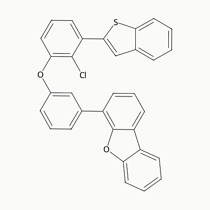 Clc1c(Oc2cccc(-c3cccc4c3oc3ccccc34)c2)cccc1-c1cc2ccccc2s1